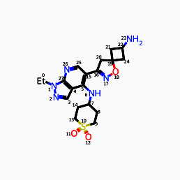 CCn1ncc2c(NC3CCS(=O)(=O)CC3)c(C3=NOC4(C3)CC(N)C4)cnc21